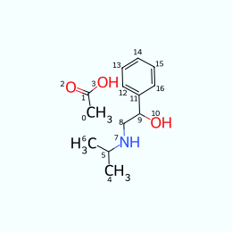 CC(=O)O.CC(C)NCC(O)c1ccccc1